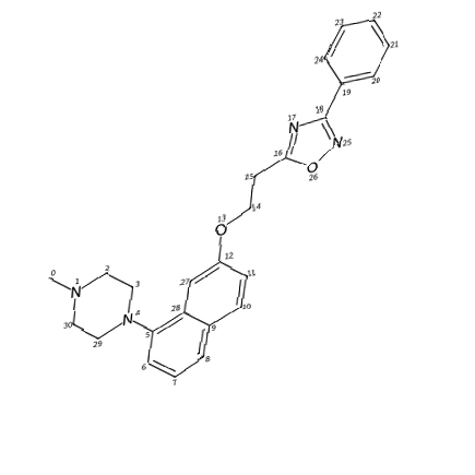 CN1CCN(c2cccc3ccc(OCCc4nc(-c5ccccc5)no4)cc23)CC1